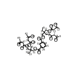 CCC(CCC(=O)CC(C)=O)(COC(=O)CC(C)=O)COC(=O)c1cccc(C(=O)OCC(CC)(COC(=O)CC(C)=O)COC(=O)CC(C)=O)c1